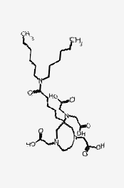 CCCCCCN(CCCCCC)C(=O)CCCCC1(N(CC(=O)O)CC(=O)O)CN(CC(=O)O)CCN(CC(=O)O)C1